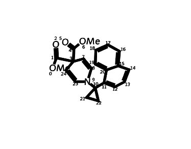 COC(=O)C1(C(=O)OC)C=CN(C2(c3cccc4ccccc34)CC2)C=C1